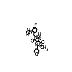 Cn1c(C2CCOCC2)nc(C(=O)NCc2ccc(F)cc2-n2cncn2)c(O)c1=O